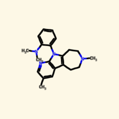 Cc1cnc2c(c1)c1c(n2-c2ccccc2N(C)C)CCN(C)CC1